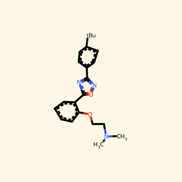 CN(C)CCOc1ccccc1-c1nc(-c2ccc(C(C)(C)C)cc2)no1